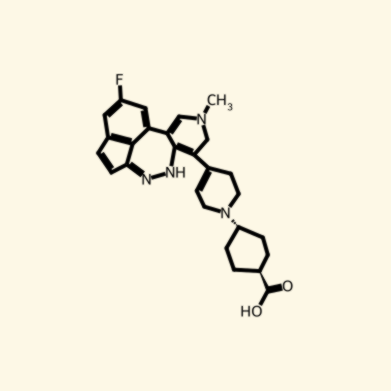 CN1C=C2C(=C(C3=CCN([C@H]4CC[C@H](C(=O)O)CC4)CC3)C1)NN=C1C=Cc3cc(F)cc2c31